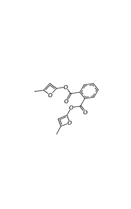 CC1=C=C(OC(=O)c2ccccc2C(=O)OC2=C=C(C)O2)O1